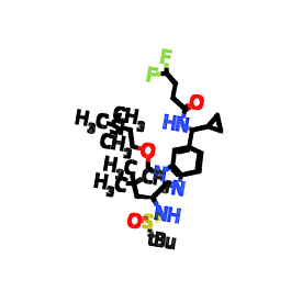 CC(C)(C)[S@@+]([O-])N[C@@H](CC(C)(C)C(F)(F)F)c1nc2ccc([C@H](NC(=O)CCC(F)F)C3CC3)cc2n1COCC[Si](C)(C)C